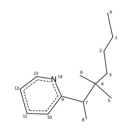 CCCCC(C)(C)C(C)c1ccccn1